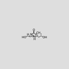 C=CC(N)=O.OCCONOCCO